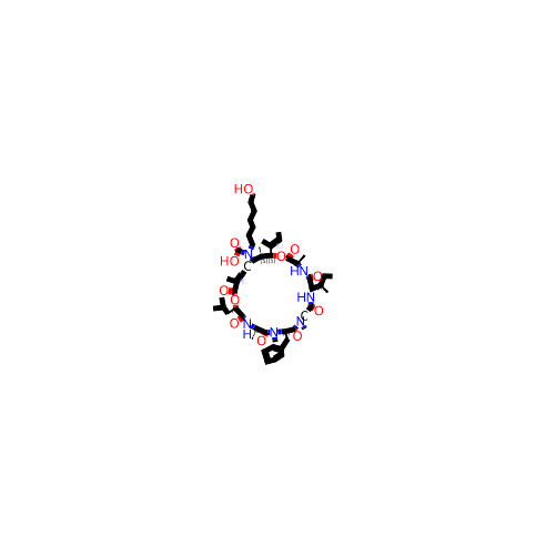 C/C=C(\C)[C@H]1OC(=O)[C@@H](C)NC(=O)[C@H]([C@H](C)CC)NC(=O)CN(C)C(=O)[C@@H](Cc2ccccc2)N(C)C(=O)[C@H](C)NC(=O)[C@@H](CC(C)C)OC(=O)/C(C)=C/C[C@H](N(CCCCCCCO)C(=O)O)[C@@H]1C